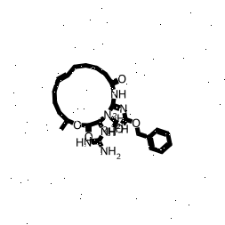 [2H]C([2H])([2H])N1/C(=N\C(=O)OCc2ccccc2)NC(=O)CCCC/C=C/CCCC(C)OC(=O)C1NC(=N)N